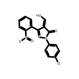 O=C1/C(=C/O)C(c2ccccc2[N+](=O)[O-])=NN1c1ccc(Cl)cc1